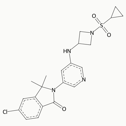 CC1(C)c2cc(Cl)ccc2C(=O)N1c1cncc(NC2CN(S(=O)(=O)C3CC3)C2)c1